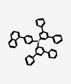 c1ccc(-c2cc(-c3ccccc3)cc(N(c3ccc(-c4cccc5ccccc45)cc3)c3cc(-c4ccccc4)cc(-c4ccccc4)c3)c2)cc1